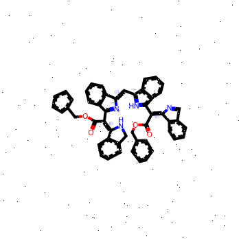 O=C(OCc1ccccc1)/C(C1=N/C(=C\c2[nH]c(/C(C(=O)OCc3ccccc3)=C3\N=Cc4ccccc43)c3ccccc23)c2ccccc21)=C1/NCc2ccccc21